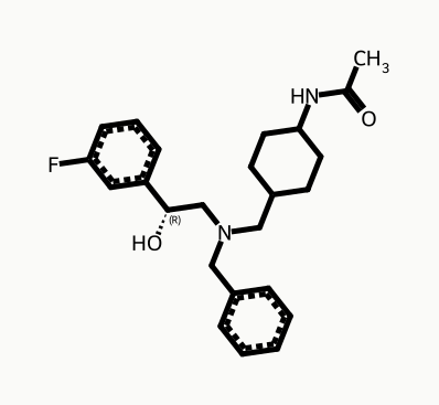 CC(=O)NC1CCC(CN(Cc2ccccc2)C[C@H](O)c2cccc(F)c2)CC1